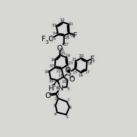 O=C(C1CCCCC1)N1CC[C@@]2(S(=O)(=O)c3ccc(F)cc3)c3ccc(OCc4c(F)cccc4C(F)(F)F)cc3CC[C@@H]12